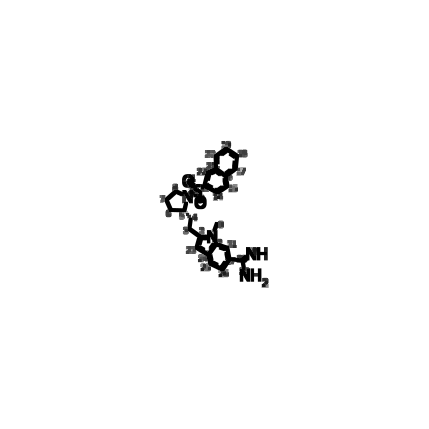 Cn1c(CC[C@@H]2CCCN2S(=O)(=O)c2ccc3ccccc3c2)cc2ccc(C(=N)N)cc21